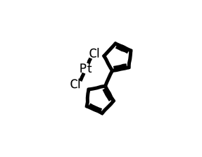 C1=CCC(C2=CC=CC2)=C1.[Cl][Pt][Cl]